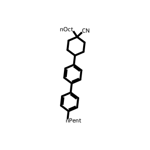 CCCCCCCCC1(C#N)CCC(c2ccc(-c3ccc(CCCCC)cc3)cc2)CC1